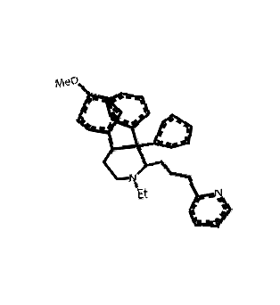 CCN1CCC(c2ccc(OC)cc2)C(c2ccccc2)(c2ccccc2)C1CCCc1ccccn1